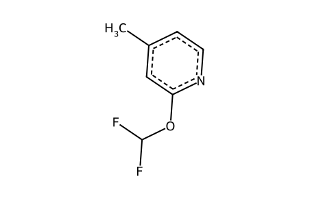 Cc1ccnc(OC(F)F)c1